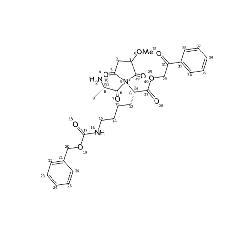 COC1CC(=O)[N+](C(=O)[C@H](C)N)([C@@H](CCCCNC(=O)OCc2ccccc2)C(=O)OCC(=O)c2ccccc2)C1=O